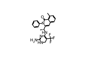 Cc1cccc2cc([C@H](C)NC3=C(C(F)(F)F)CNC(N)=N3)n(-c3ccccc3)c(=O)c12